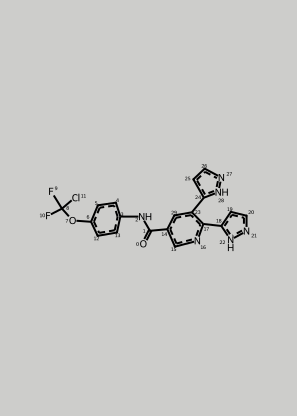 O=C(Nc1ccc(OC(F)(F)Cl)cc1)c1cnc(-c2ccn[nH]2)c(-c2ccn[nH]2)c1